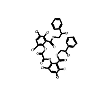 CCC(COC(=O)c1c(Cl)c(Cl)cc(Cl)c1OC(=O)C(=O)Oc1c(Cl)cc(Cl)c(Cl)c1C(=O)OCC(CC)c1ccccc1)c1ccccc1